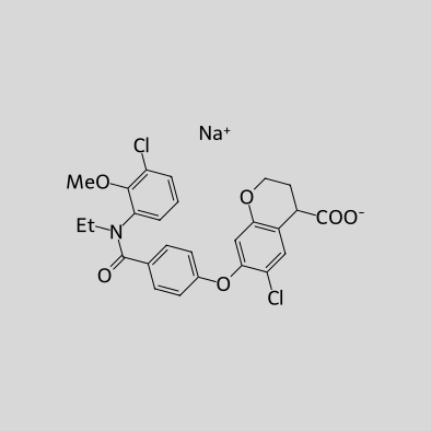 CCN(C(=O)c1ccc(Oc2cc3c(cc2Cl)C(C(=O)[O-])CCO3)cc1)c1cccc(Cl)c1OC.[Na+]